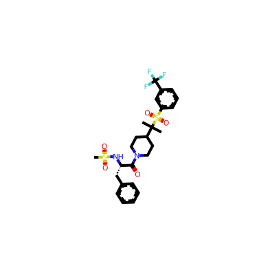 CC(C)(C1CCN(C(=O)[C@H](Cc2ccccc2)NS(C)(=O)=O)CC1)S(=O)(=O)c1cccc(C(F)(F)F)c1